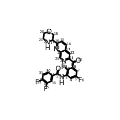 O=C(Nc1cc(F)cc(C(=O)c2cc3ccc(C4COCCN4)nc3cn2)c1F)c1ccc(F)c(F)c1